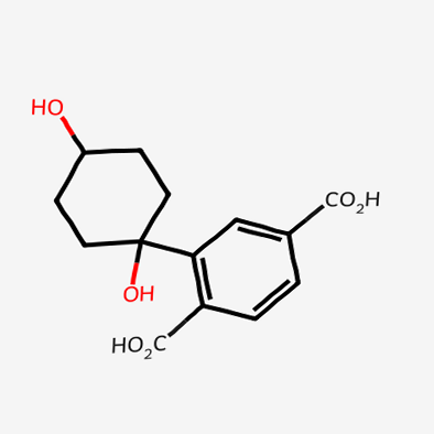 O=C(O)c1ccc(C(=O)O)c(C2(O)CCC(O)CC2)c1